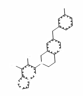 Cc1c(N2CCc3ncc(Cc4cccc(F)c4)cc3C2)nn2cnnc2c1C